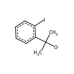 CC(C)([O])c1ccccc1I